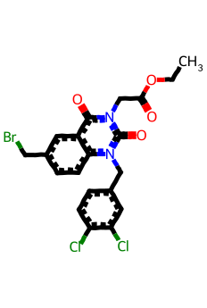 CCOC(=O)Cn1c(=O)c2cc(CBr)ccc2n(Cc2ccc(Cl)c(Cl)c2)c1=O